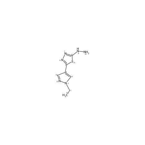 CCn1cc(-c2nnc(NN)s2)cn1